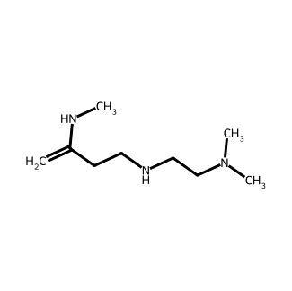 C=C(CCNCCN(C)C)NC